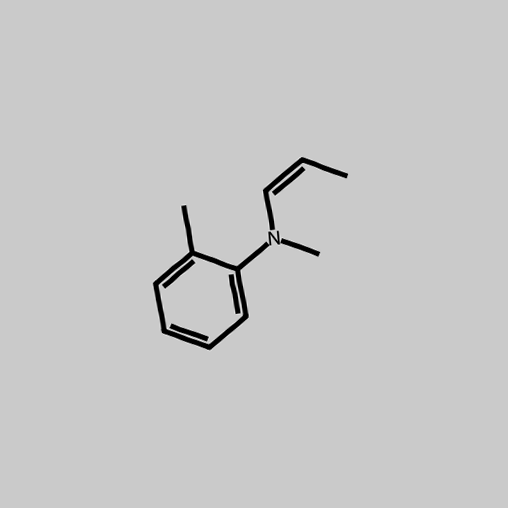 C/C=C\N(C)c1ccccc1C